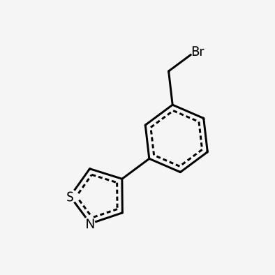 BrCc1cccc(-c2cnsc2)c1